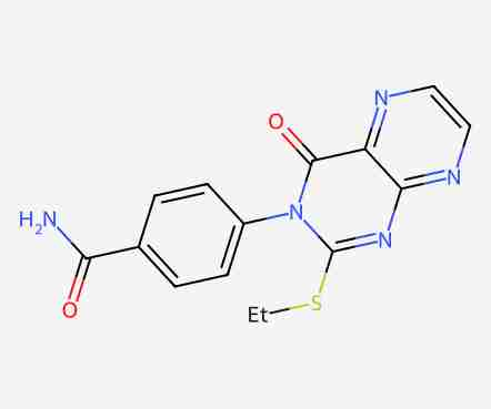 CCSc1nc2nccnc2c(=O)n1-c1ccc(C(N)=O)cc1